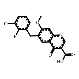 COc1cc2[nH]cc(C(=O)O)c(=O)c2cc1Cc1cccc(Cl)c1F